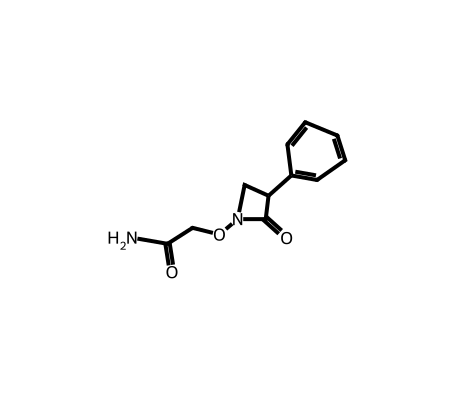 NC(=O)CON1CC(c2ccccc2)C1=O